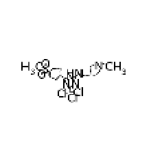 CCN1CCC(CNc2nc(-c3ccc(S(C)(=O)=O)cc3)nc(C(Cl)(Cl)Cl)n2)CC1